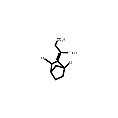 CCC1C(=C(CC(=O)O)C(=O)O)C2(CC)CCC1C2